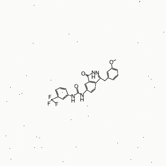 COc1cccc(Cc2n[nH]c(=O)c3cc(NC(=O)Nc4cccc(C(F)(F)F)c4)ccc23)c1